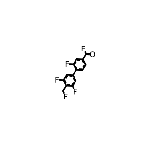 O=C(F)c1ccc(-c2cc(F)c(CF)c(F)c2)c(F)c1